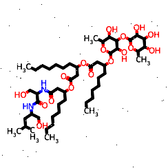 CCCCCCCC(CC(=O)NC(CO)C(=O)NC(CO)CC(C)C)OC(=O)CC(CCCCCCC)OC(=O)CC(CCCCCCC)OC1OC(C)C(O)C(OC2OC(C)C(O)C(O)C2O)C1O